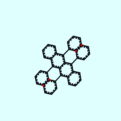 [c]1cccc2c(-c3ccccc3)c3c(-c4ccccc4)c4ccccc4c(-c4ccccc4)c3c(-c3ccccc3)c12